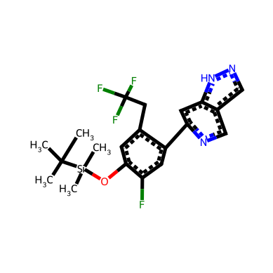 CC(C)(C)[Si](C)(C)Oc1cc(CC(F)(F)F)c(-c2cc3[nH]ncc3cn2)cc1F